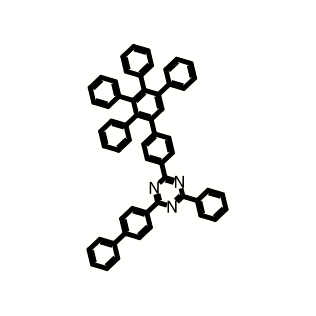 c1ccc(-c2ccc(-c3nc(-c4ccccc4)nc(-c4ccc(-c5cc(-c6ccccc6)c(-c6ccccc6)c(-c6ccccc6)c5-c5ccccc5)cc4)n3)cc2)cc1